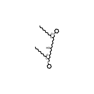 CCCCCCCCC(=O)OC(CCCCCC(O)CCCCCC(CSC1CCCCC1)OC(=O)CCCCCCCC)CSC1CCCCC1